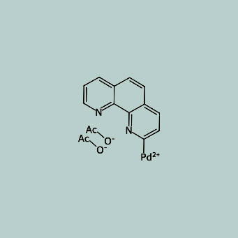 CC(=O)[O-].CC(=O)[O-].[Pd+2][c]1ccc2ccc3cccnc3c2n1